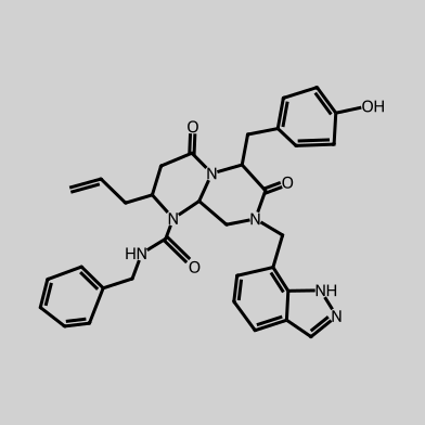 C=CCC1CC(=O)N2C(Cc3ccc(O)cc3)C(=O)N(Cc3cccc4cn[nH]c34)CC2N1C(=O)NCc1ccccc1